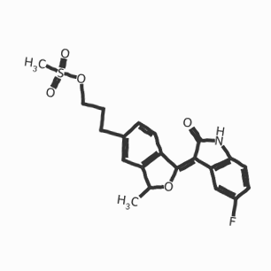 CC1O/C(=C2/C(=O)Nc3ccc(F)cc32)c2ccc(CCCOS(C)(=O)=O)cc21